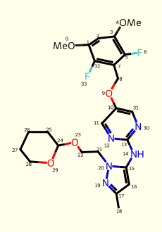 COc1cc(OC)c(F)c(COc2cnc(Nc3cc(C)nn3CCOC3CCCCO3)nc2)c1F